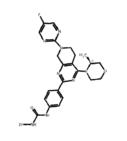 CCNC(=O)Nc1ccc(-c2nc3c(c(N4CCOC[C@@H]4C)n2)CCN(c2ncc(F)cn2)C3)cc1